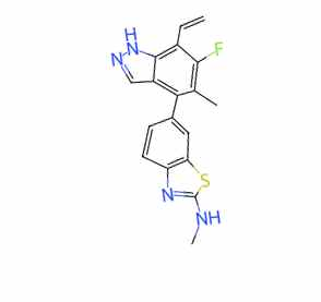 C=Cc1c(F)c(C)c(-c2ccc3nc(NC)sc3c2)c2cn[nH]c12